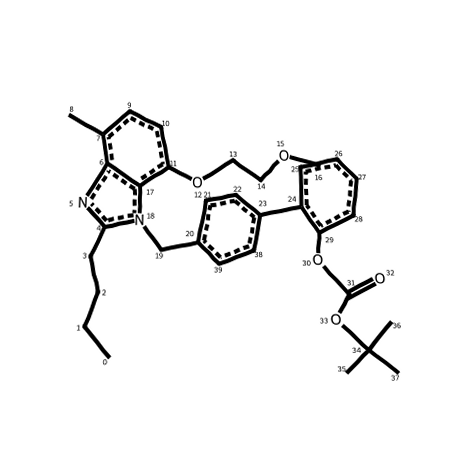 CCCCc1nc2c(C)ccc(OCCOC)c2n1Cc1ccc(-c2ccccc2OC(=O)OC(C)(C)C)cc1